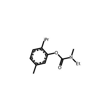 CCN(C)C(=O)Oc1cc(C)ccc1C(C)C